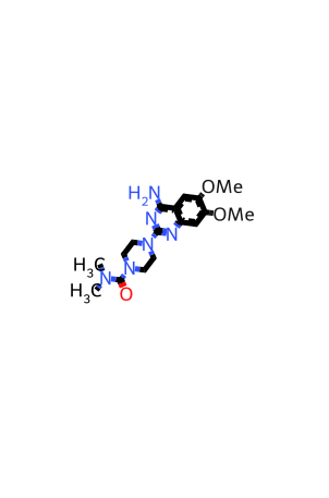 COc1cc2nc(N3CCN(C(=O)N(C)C)CC3)nc(N)c2cc1OC